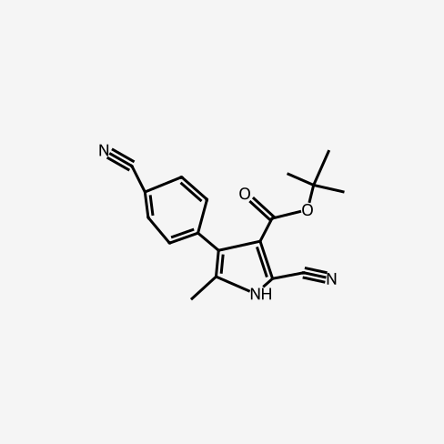 Cc1[nH]c(C#N)c(C(=O)OC(C)(C)C)c1-c1ccc(C#N)cc1